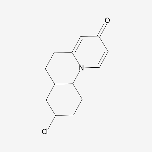 O=c1ccn2c(c1)CCC1CC(Cl)CCC12